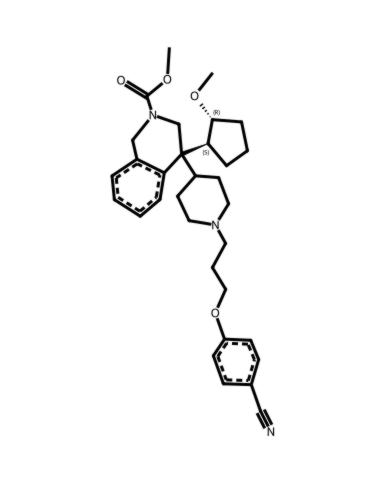 COC(=O)N1Cc2ccccc2C(C2CCN(CCCOc3ccc(C#N)cc3)CC2)([C@@H]2CCC[C@H]2OC)C1